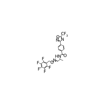 CC(C=NOCc1c(F)c(F)c(F)c(F)c1F)NC(=O)c1ccc(-c2noc(C(F)(F)F)n2)cc1